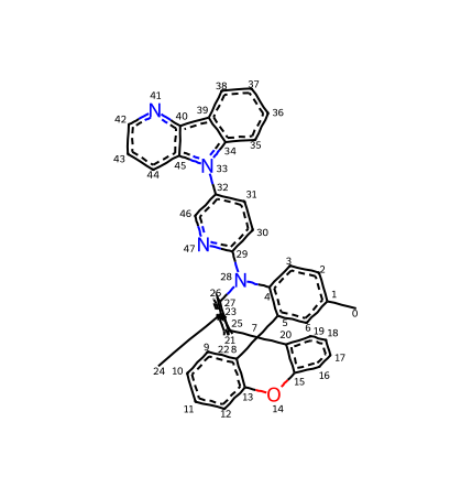 Cc1ccc2c(c1)C1(c3ccccc3Oc3ccccc31)c1cc(C)ccc1N2c1ccc(-n2c3ccccc3c3ncccc32)cn1